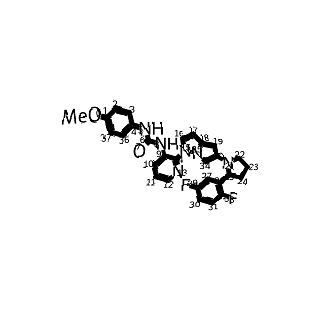 COc1ccc(NC(=O)Nc2cccnc2-n2ccc3cc(N4CCCC4c4cc(F)ccc4F)cn32)cc1